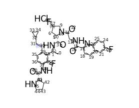 C[C@H](NC(=O)[C@@H]1C[C@@H](F)CN1C(=O)CNC(=O)c1ccc2cc(F)ccc2n1)c1c(/C=C/C2CC2)ccc(NC(=O)[C@@H]2CCCN2)c1F.Cl